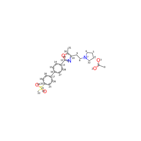 CC(=O)O[C@H]1CCN(CCc2nc(-c3ccc(-c4ccc(S(C)(=O)=O)cc4)cc3)oc2C)C1